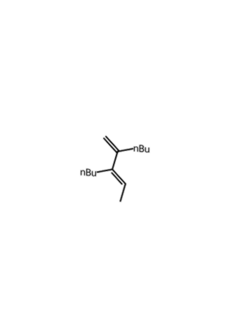 C=C(CCCC)C(=CC)CCCC